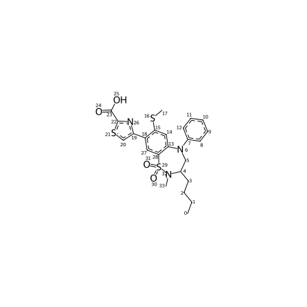 CCCCC1CN(c2ccccc2)c2cc(SC)c(-c3csc(C(=O)O)n3)cc2S(=O)(=O)N1C